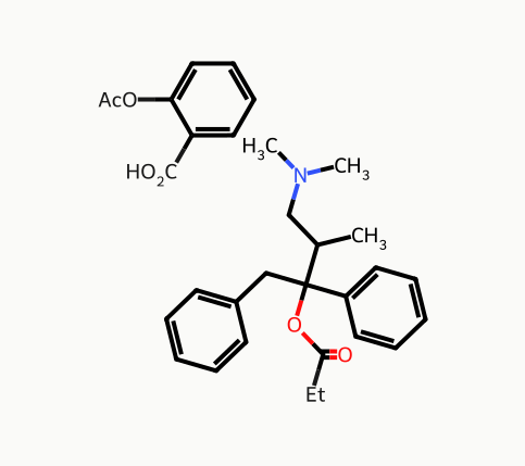 CC(=O)Oc1ccccc1C(=O)O.CCC(=O)OC(Cc1ccccc1)(c1ccccc1)C(C)CN(C)C